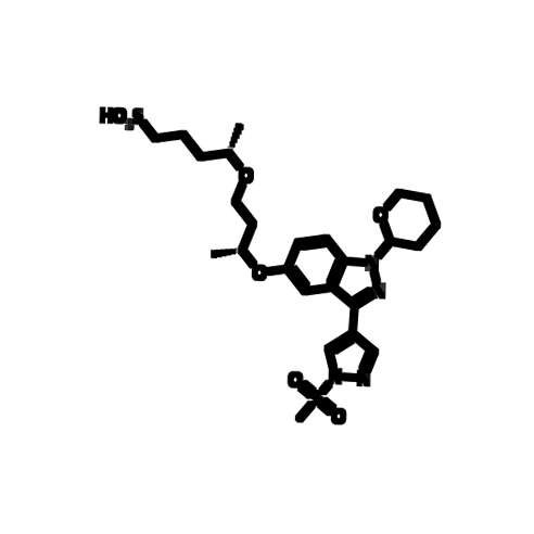 C[C@H](CCO[C@@H](C)CCCS(=O)(=O)O)Oc1ccc2c(c1)c(-c1cnn(S(C)(=O)=O)c1)nn2C1CCCCO1